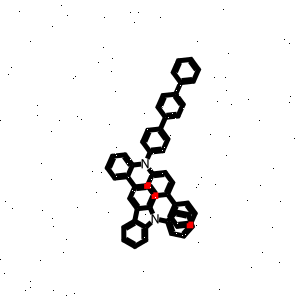 c1ccc(-c2ccc(-c3ccc(N(c4ccc(-c5ccccc5)cc4)c4ccccc4-c4ccc5c(c4)c4ccccc4n5-c4ccccc4)cc3)cc2)cc1